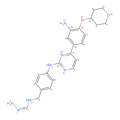 N/N=C\NCc1ccc(Nc2nccc(-c3ccc(OC4CCOCC4)c(N)c3)n2)cc1